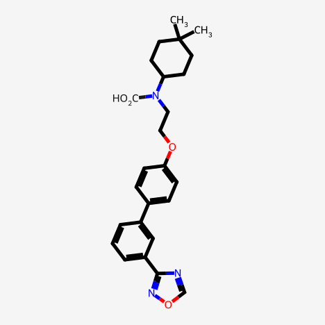 CC1(C)CCC(N(CCOc2ccc(-c3cccc(-c4ncon4)c3)cc2)C(=O)O)CC1